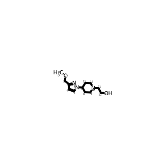 COCc1[c]cn(C2CCN(CCO)CC2)n1